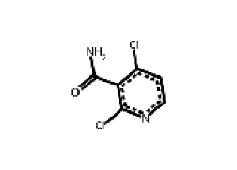 NC(=O)c1c(Cl)ccnc1Cl